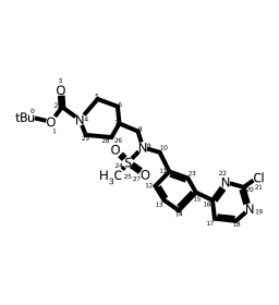 CC(C)(C)OC(=O)N1CCC(CN(Cc2cccc(-c3ccnc(Cl)n3)c2)S(C)(=O)=O)CC1